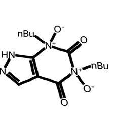 CCCC[N+]1([O-])C(=O)c2cn[nH]c2[N+]([O-])(CCCC)C1=O